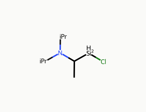 CC(C)N(C(C)C)C(C)[SiH2]Cl